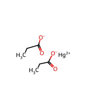 CCC(=O)[O-].CCC(=O)[O-].[Hg+2]